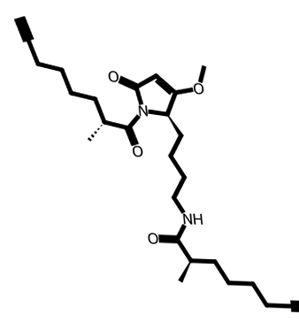 C#CCCCC[C@@H](C)C(=O)NCCCC[C@@H]1C(OC)=CC(=O)N1C(=O)[C@H](C)CCCCC#C